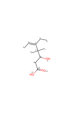 CC=C(CC)C(C)(C)C(O)CC(=O)O